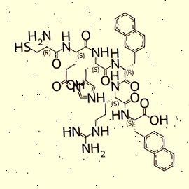 N=C(N)NCCC[C@H](NC(=O)[C@@H](Cc1ccc2ccccc2c1)NC(=O)[C@H](Cc1c[nH]cn1)NC(=O)[C@H](CCC(=O)O)NC(=O)[C@@H](N)CS)C(=O)N[C@@H](Cc1ccc2ccccc2c1)C(=O)O